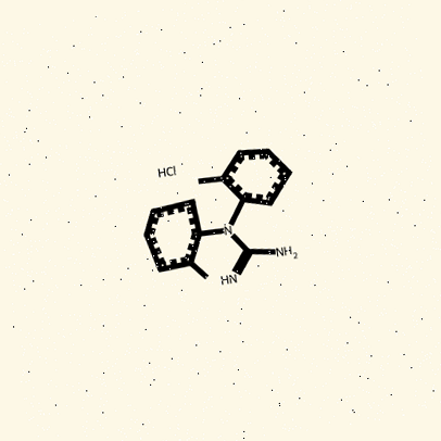 Cc1ccccc1N(C(=N)N)c1ccccc1C.Cl